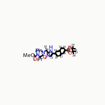 COC(=O)N[C@H](C(=O)N(C(C)C)[C@@H](C)c1ncc(-c2ccc3cc(B4OC(C)(C)C(C)(C)O4)ccc3c2)[nH]1)C(C)C